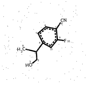 [CH2]C(CO)c1ccc(C#N)c(F)c1